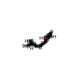 C[C@]12C=CC(=O)C=C1CC[C@@H]1[C@@H]2[C@@H](O)C[C@@]2(C)[C@H]1C[C@H]1O[C@@H](c3ccc(CC4CC5(CO4)CN(C(=O)OCc4ccc(NC(=O)[C@H](CCC(=O)O)NC(=O)CNC(=O)CBr)cc4)C5)cc3)O[C@]12C(=O)CO